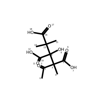 CC(=O)C(C)(C(=O)O)C(O)(C(=O)O)C(C)(C)C(=O)O